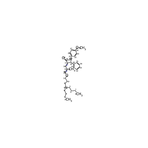 CCCCN(CCCC)CCCO/N=C(C)/C=C1/C(=O)N(c2ccc(OC)cc2)C1c1ccccc1